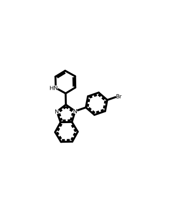 Brc1ccc(-n2c(C3C=CC=CN3)nc3ccccc32)cc1